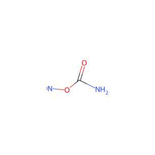 [N]OC(N)=O